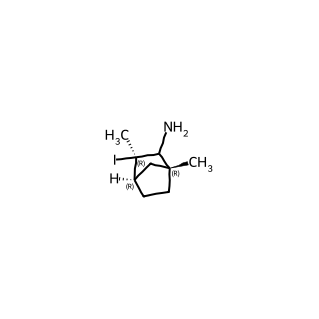 C[C@@]12CC[C@H](C1)[C@@](C)(I)C2N